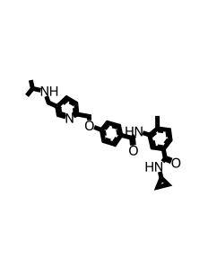 Cc1ccc(C(=O)NC2CC2)cc1NC(=O)c1ccc(OCc2ccc(CNC(C)C)cn2)cc1